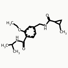 CCOc1cc(CNC(=O)C2CC2C)ccc1C(=O)NC(C)C